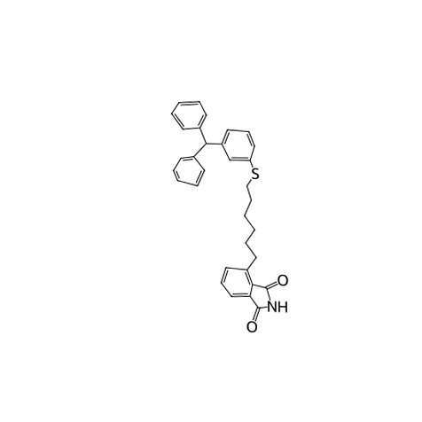 O=C1NC(=O)c2c(CCCCCCSc3cccc(C(c4ccccc4)c4ccccc4)c3)cccc21